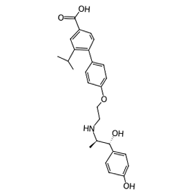 CC(C)c1cc(C(=O)O)ccc1-c1ccc(OCCN[C@H](C)[C@H](O)c2ccc(O)cc2)cc1